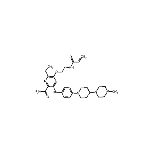 C=CC(=O)NCCOc1nc(Nc2ccc(N3CCC(N4CCN(C)CC4)CC3)cc2)c(C(N)=O)nc1CC